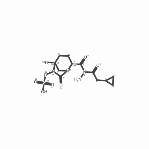 NN(C(=O)CC1CC1)C(=O)[C@@H]1CC[C@@H]2CN1C(=O)N2OS(=O)(=O)O